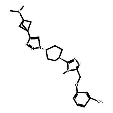 CN(C)C12CC(c3cn([C@H]4CC[C@H](c5nnc(COc6cccc(C(F)(F)F)c6)n5C)CC4)nn3)(C1)C2